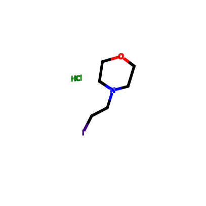 Cl.ICCN1CCOCC1